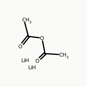 CC(=O)OC(C)=O.[LiH].[LiH]